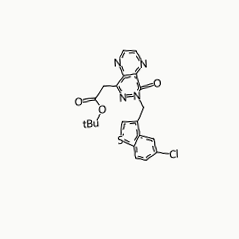 CC(C)(C)OC(=O)Cc1nn(Cc2csc3ccc(Cl)cc23)c(=O)c2nccnc12